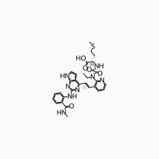 CCN(c1ncccc1/C=C/c1nc(Nc2ccccc2C(=O)NC)nc2[nH]ccc12)S(=O)(=O)N[C@@H](CCSC)C(=O)O